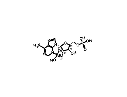 NC1=NCN(P(=O)(O)O)c2c1ncn2[C@@H]1O[C@H](COP(=O)(O)O)[C@@H](O)[C@H]1O